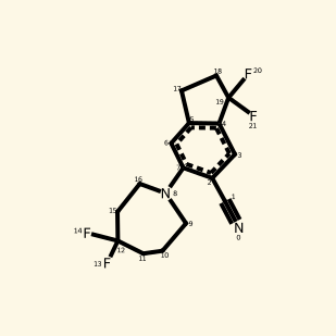 N#Cc1cc2c(cc1N1CCCC(F)(F)CC1)CCC2(F)F